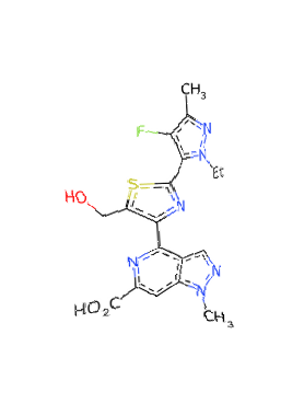 CCn1nc(C)c(F)c1-c1nc(-c2nc(C(=O)O)cc3c2cnn3C)c(CO)s1